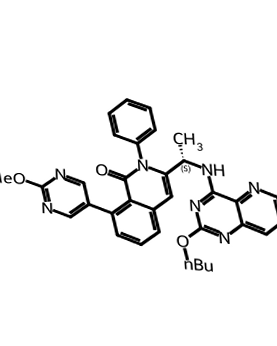 CCCCOc1nc(N[C@@H](C)c2cc3cccc(-c4cnc(OC)nc4)c3c(=O)n2-c2ccccc2)c2ncccc2n1